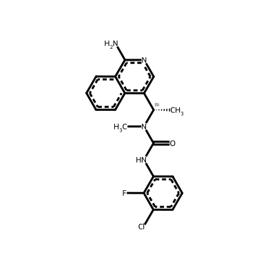 C[C@@H](c1cnc(N)c2ccccc12)N(C)C(=O)Nc1cccc(Cl)c1F